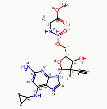 C#C[C@@]1(F)[C@H](O)[C@@H](CO[PH](=O)N[C@H](C)C(=O)OC(C)C)O[C@H]1n1cnc2c(NC3CC3)nc(N)nc21